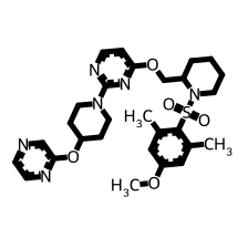 COc1cc(C)c(S(=O)(=O)N2CCCCC2COc2ccnc(N3CCC(Oc4cnccn4)CC3)n2)c(C)c1